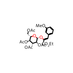 CCOC(=O)C(=Cc1cccc(OC)c1)O[C@H]1O[C@@H](COC(C)=O)[C@H](OC(C)=O)[C@@H](OC(C)=O)[C@@H]1OC(C)=O